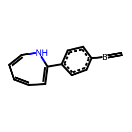 C=Bc1ccc(C2=CC=CC=CN2)cc1